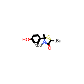 CC(C)(C)C1SC(C)(c2ccc(O)cc2)N(C(C)(C)C)C1=O